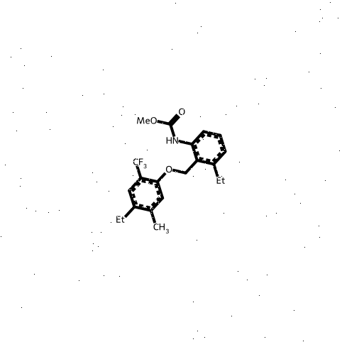 CCc1cc(C(F)(F)F)c(OCc2c(CC)cccc2NC(=O)OC)cc1C